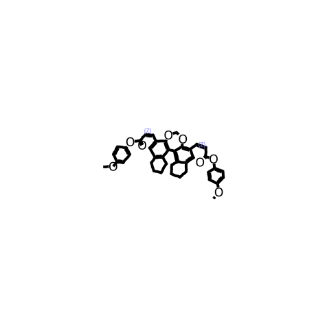 COc1ccc(OC(=O)/C=C\c2cc3c(c4c2OCOc2c(/C=C\C(=O)Oc5ccc(OC)cc5)cc5c(c2-4)CCCC5)CCCC3)cc1